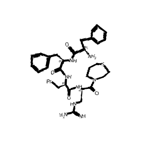 CC(C)C[C@@H](NC(=O)[C@@H](Cc1ccccc1)NC(=O)[C@H](N)Cc1ccccc1)C(=O)N[C@H](CNC(=N)N)C(=O)N1CCCSCC1